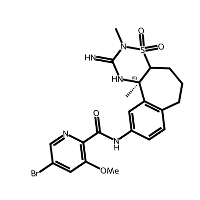 COc1cc(Br)cnc1C(=O)Nc1ccc2c(c1)[C@@]1(C)NC(=N)N(C)S(=O)(=O)C1CCC2